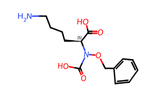 NCCCC[C@@H](C(=O)O)N(OCc1ccccc1)C(=O)O